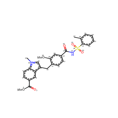 COC(=O)c1ccc2c(c1)c(Cc1ccc(C(=O)NS(=O)(=O)c3ccccc3C)cc1OC)cn2C